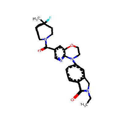 CCN1Cc2cc(N3CCOc4cc(C(=O)N5CCC(C)(F)CC5)cnc43)ccc2C1=O